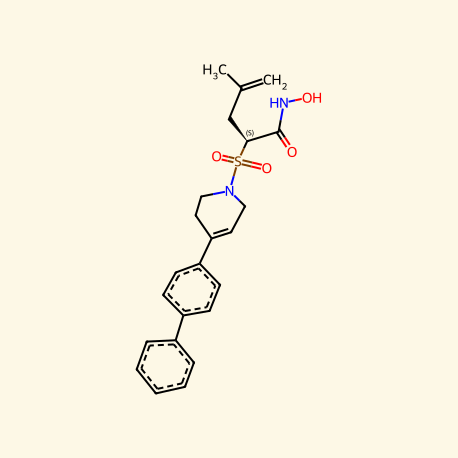 C=C(C)C[C@@H](C(=O)NO)S(=O)(=O)N1CC=C(c2ccc(-c3ccccc3)cc2)CC1